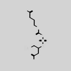 O=C(O)CCCOC(=O)NS(=O)(=O)NC(CO)CC(=O)O